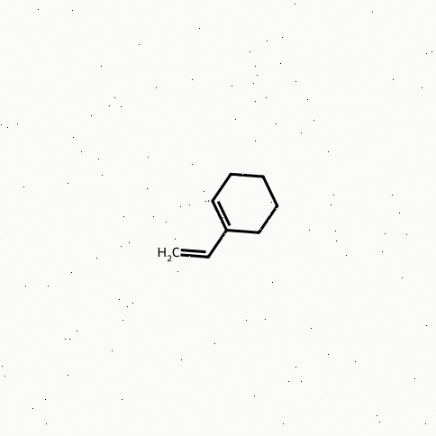 C=CC1=[C]CCCC1